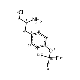 NC(CCl)Cc1ccc(OC(F)(F)F)cc1